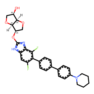 O[C@@H]1CO[C@H]2[C@@H]1OC[C@H]2Oc1nc2c(F)c(-c3ccc(-c4ccc(N5CCCCC5)cc4)cc3)c(F)cc2[nH]1